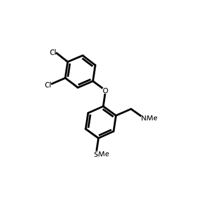 CNCc1cc(SC)ccc1Oc1ccc(Cl)c(Cl)c1